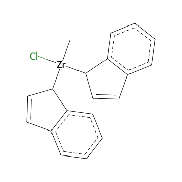 [CH3][Zr]([Cl])([CH]1C=Cc2ccccc21)[CH]1C=Cc2ccccc21